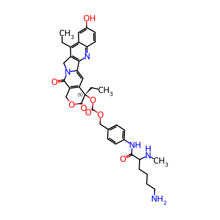 CCc1c2c(nc3ccc(O)cc13)-c1cc3c(c(=O)n1C2)COC(=O)[C@@]3(CC)OC(=O)OCc1ccc(NC(=O)C(CCCCN)NC)cc1